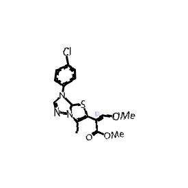 CO/C=C(\C(=O)OC)C1=C(C)N2N=CN(c3ccc(Cl)cc3)C2S1